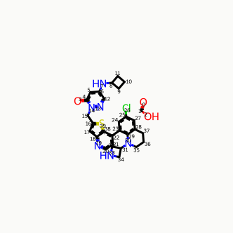 O=CO.O=c1cc(NC2CCC2)cnn1Cc1cc2nccc(-c3cc(Cl)cc4c3N(C3CNC3)CCC4)c2s1